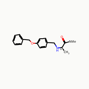 CNC(=O)[C@@H](C)NCc1ccc(OCc2ccccc2)cc1